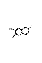 O=c1oc2ccc(F)cc2cc1Br